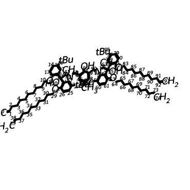 C=CCCCCCCCCCOc1ccc(C(C)(C)C)cc1C(O)(c1cc(C(C)(C)C)ccc1OCCCCCCCCCC=C)[C@@H](C)N=Cc1cc(C)cc(C=N[C@H](C)C(O)(c2cc(C(C)(C)C)ccc2OCCCCCCCCCC=C)c2cc(C(C)(C)C)ccc2OCCCCCCCCCC=C)c1O